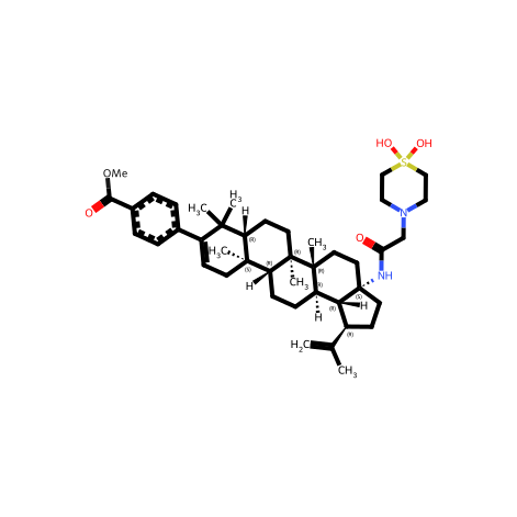 C=C(C)[C@@H]1CC[C@]2(NC(=O)CN3CCS(O)(O)CC3)CC[C@]3(C)[C@H](CC[C@@H]4[C@@]5(C)CC=C(c6ccc(C(=O)OC)cc6)C(C)(C)[C@@H]5CC[C@]43C)[C@@H]12